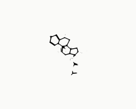 CCC(CC)OC(=O)O[C@@]1(C(=O)O)[C@H](C)C[C@H]2[C@@H]3C[C@H](F)C4=CC(=O)C=C[C@]4(C)C3(F)[C@@H](O)C[C@@]21C